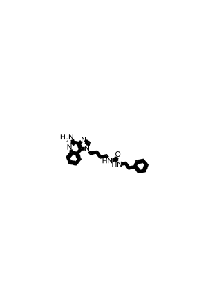 Nc1nc2ccccc2c2c1ncn2CCCCNC(=O)NCCc1ccccc1